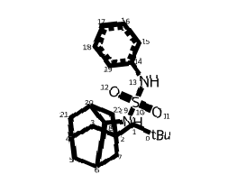 CC(C)(C)CC12CC3CC(C1)C(NS(=O)(=O)Nc1ccccc1)C(C3)C2